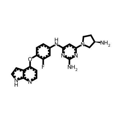 Nc1nc(Nc2ccc(Oc3ccnc4[nH]ccc34)c(F)c2)cc(N2CC[C@@H](N)C2)n1